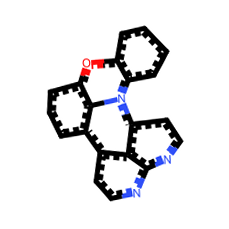 c1ccc2c(c1)oc1cccc3c1-n2c1ccnc2nccc3c21